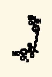 CC1=C(CCCCCN2CCN(C(=O)NC(C)(C)C)CC2)C(=O)N(c2ccc(C#N)c(C(F)(F)F)c2)C1=O